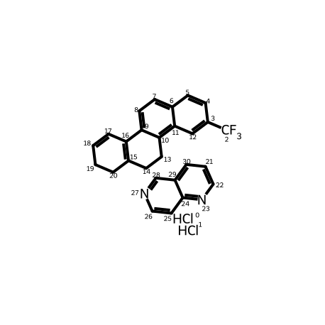 Cl.Cl.FC(F)(F)c1ccc2ccc3c(c2c1)CCC1=C3C=CCC1.c1cnc2ccncc2c1